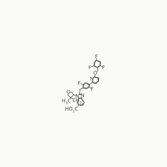 CC1(C)COCC1n1c(Cc2cc(F)c(-c3cccc(OCc4c(F)cc(F)cc4F)n3)cc2F)nc2ccc(C(=O)O)cc21